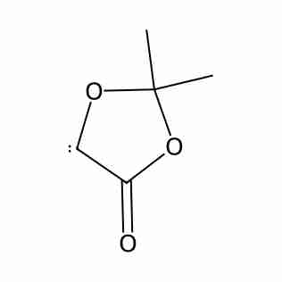 CC1(C)O[C]C(=O)O1